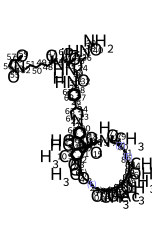 CO[C@H]1/C=C/O[C@@]2(C)Oc3c(C)c(O)c4c(=O)c(c5oc6cc(N7CCC(c8ccc(NC(=O)[C@H](CCCNC(N)=O)NC(=O)[C@@H](NC(=O)CCCCCN9C(=O)C=CC9=O)C(C)C)cc8)CC7)cc(O)c6nc-5c4c3C2=O)NC(=O)/C(C)=C\C=C\[C@H](C)[C@H](O)[C@@H](C)[C@@H](O)[C@@H](C)[C@H](OC(C)=O)[C@@H]1C